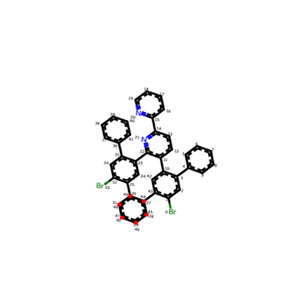 Brc1cc(-c2ccccc2)c(-c2ccc(-c3ccccn3)nc2-c2cc(-c3ccccc3)c(Br)cc2-c2ccccc2)cc1-c1ccccc1